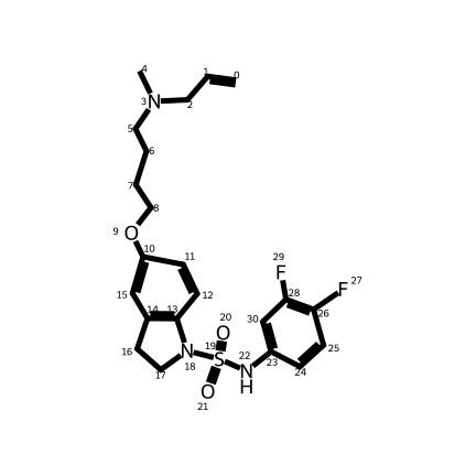 C=CCN(C)CCCCOc1ccc2c(c1)CCN2S(=O)(=O)Nc1ccc(F)c(F)c1